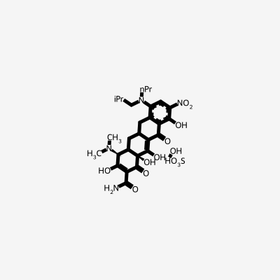 CCCN(CC(C)C)c1cc([N+](=O)[O-])c(O)c2c1CC1CC3[C@H](N(C)C)C(O)=C(C(N)=O)C(=O)[C@@]3(O)C(O)=C1C2=O.O=S(=O)(O)O